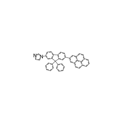 c1ccc(C2(c3ccccc3)c3cc(-c4cc5ccc6cccc7ccc(c4)c5c67)ccc3-c3ccc(-n4ccnc4)cc32)cc1